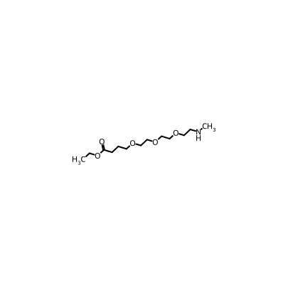 CCOC(=O)CCCOCCOCCOCCNC